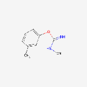 Cc1cccc(OC(=N)NC#N)c1